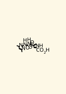 Cc1cc(C)nc(NC(=O)NS(=O)(=O)c2c[nH]c(C(=O)O)c2)n1